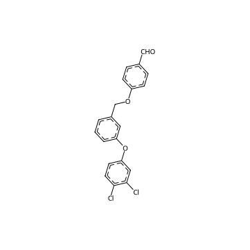 O=Cc1ccc(OCc2cccc(Oc3ccc(Cl)c(Cl)c3)c2)cc1